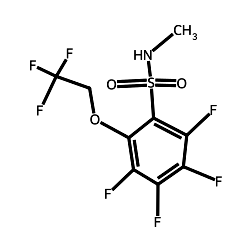 CNS(=O)(=O)c1c(F)c(F)c(F)c(F)c1OCC(F)(F)F